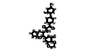 Cc1cc(F)ccc1-c1ccc(C(=O)C(=O)N[C@H](CN2CCCC2)[C@H](O)c2cc(F)c3c(c2)OCCO3)cc1